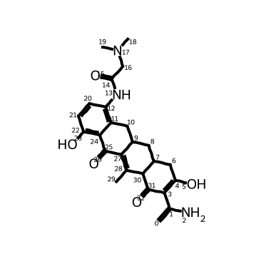 C=C(N)C1=C(O)CC2CC3Cc4c(NC(=O)CN(C)C)ccc(O)c4C(=O)C3=C(C)C2C1=O